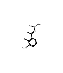 C/C(=N\[S@+]([O-])C(C)(C)C)c1cccc([N+](=O)[O-])c1F